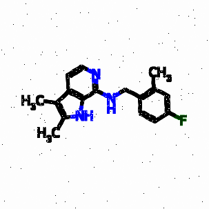 Cc1cc(F)ccc1CNc1nccc2c(C)c(C)[nH]c12